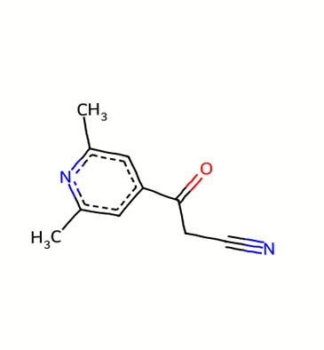 Cc1cc(C(=O)CC#N)cc(C)n1